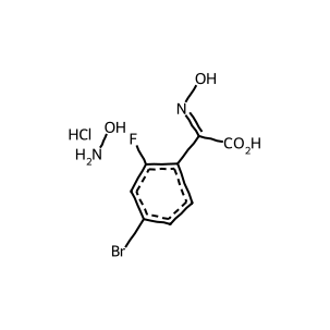 Cl.NO.O=C(O)C(=NO)c1ccc(Br)cc1F